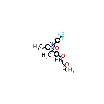 CCC1CCC2(CC1)N=C(c1ccc(C(F)(F)F)cc1)C(=O)N2C(CC)c1ccc(C(=O)NCCC(=O)OC)cc1